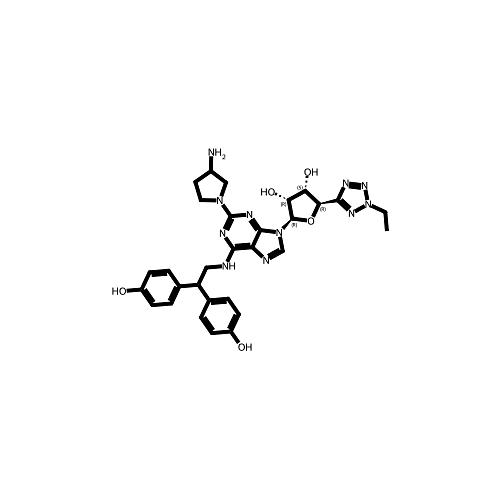 CCn1nnc([C@H]2O[C@@H](n3cnc4c(NCC(c5ccc(O)cc5)c5ccc(O)cc5)nc(N5CCC(N)C5)nc43)[C@H](O)[C@@H]2O)n1